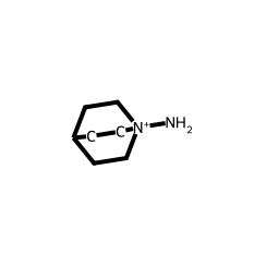 N[N+]12CCC(CC1)CC2